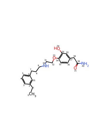 CCc1cccc(CCCNCCOc2ccc(CC(N)=O)cc2O)c1